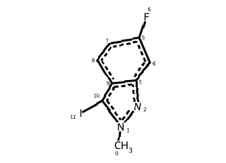 Cn1nc2cc(F)ccc2c1I